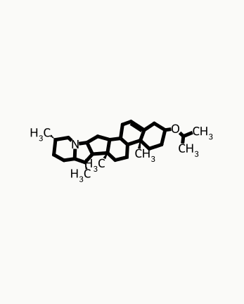 CC(C)OC1CC[C@@]2(C)C(=CCC3C4CC5C([C@H](C)C6CC[C@H](C)CN56)[C@@]4(C)CCC32)C1